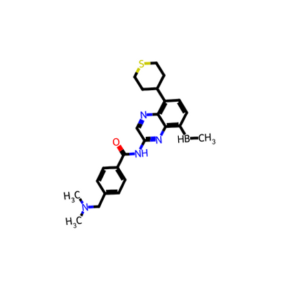 CBc1ccc(C2CCSCC2)c2ncc(NC(=O)c3ccc(CN(C)C)cc3)nc12